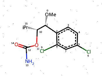 CO[C@H](c1ccc(Cl)cc1Cl)[C@H](OC(N)=O)C(C)C